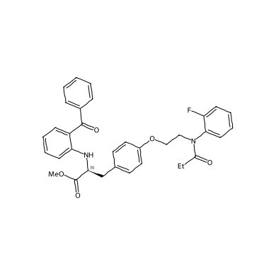 CCC(=O)N(CCOc1ccc(C[C@H](Nc2ccccc2C(=O)c2ccccc2)C(=O)OC)cc1)c1ccccc1F